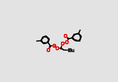 [CH2]CC(C)C[C](OOC(=O)c1cccc(C)c1)OOC(=O)c1cccc(C)c1